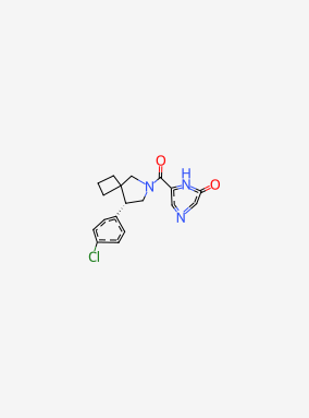 O=C(c1cncc(=O)[nH]1)N1C[C@H](c2ccc(Cl)cc2)C2(CCC2)C1